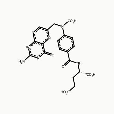 Nc1nc(=O)c2nc(CN(C(=O)O)c3ccc(C(=O)N[C@@H](CCC(=O)O)C(=O)O)cc3)cnc2[nH]1